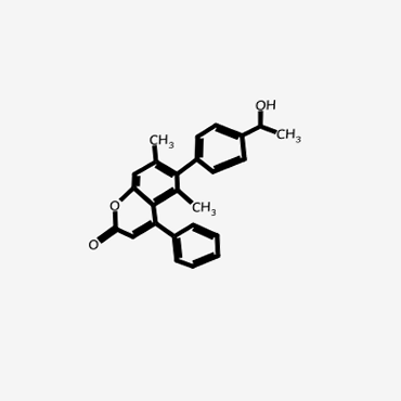 Cc1cc2oc(=O)cc(-c3ccccc3)c2c(C)c1-c1ccc(C(C)O)cc1